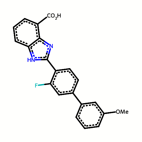 COc1cccc(-c2ccc(-c3nc4c(C(=O)O)cccc4[nH]3)c(F)c2)c1